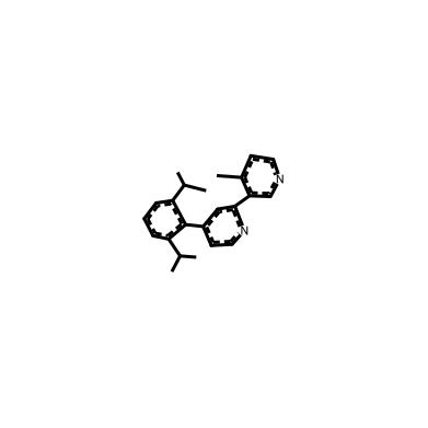 Cc1ccncc1-c1cc(-c2c(C(C)C)cccc2C(C)C)ccn1